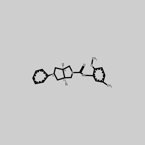 COc1ccc(C)cc1NC(=O)N1C[C@H]2C[C@@H](c3ccccc3)C[C@H]2C1